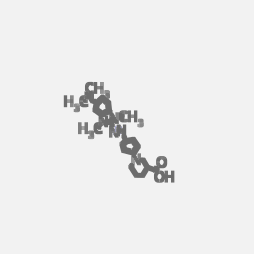 CN(C)c1ccc2c(c1)n(C)c(/N=N/c1ccc(N3CCCC(C(=O)O)C3)cc1)[n+]2C